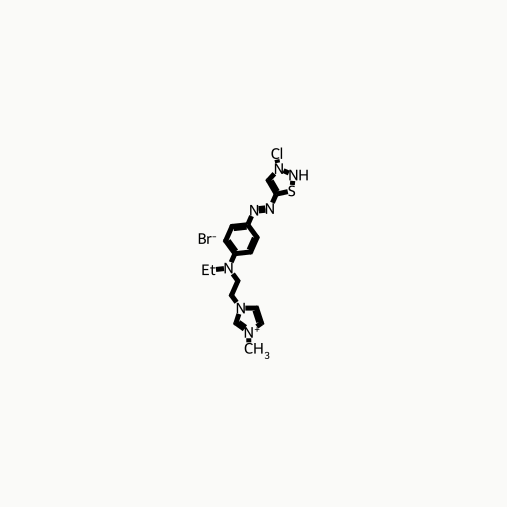 CCN(CCn1cc[n+](C)c1)c1ccc(N=NC2=CN(Cl)NS2)cc1.[Br-]